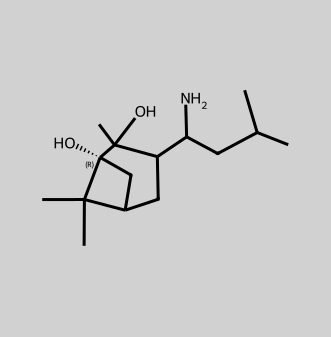 CC(C)CC(N)C1CC2C[C@@](O)(C2(C)C)C1(C)O